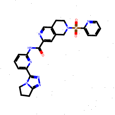 O=C(Nc1cccc(-c2nnc3n2CCC3)n1)c1cc2c(cn1)CCN(S(=O)(=O)c1ccccn1)C2